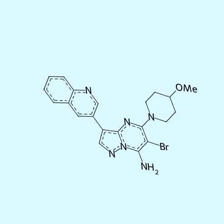 COC1CCN(c2nc3c(-c4cnc5ccccc5c4)cnn3c(N)c2Br)CC1